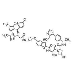 Cc1sc2c(c1C)C(c1ccc(Cl)cc1)=N[C@@H](CC(=O)N[C@H]1C[C@@H](Oc3ccc4oc(C(=O)N[C@H](C(=O)N5C[C@H](O)C[C@H]5C(=O)N[C@@H](C)C5=CCC(c6scnc6CO)C=C5)C(C)(C)C)cc4c3)C1)c1nnc(C)n1-2